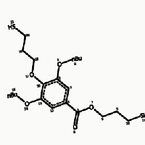 CCCCOc1cc(C(=O)OCCCS)cc(OCCCC)c1OCCCS